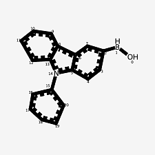 OBc1ccc2c(c1)c1ccccc1n2-c1ccccc1